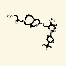 CCC(=O)N1CCc2cc(OCc3c(C)nnn3-c3ccc(C(F)(F)F)nc3)ncc2C1